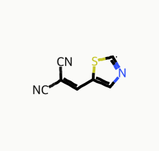 N#CC(C#N)=Cc1cn[c]s1